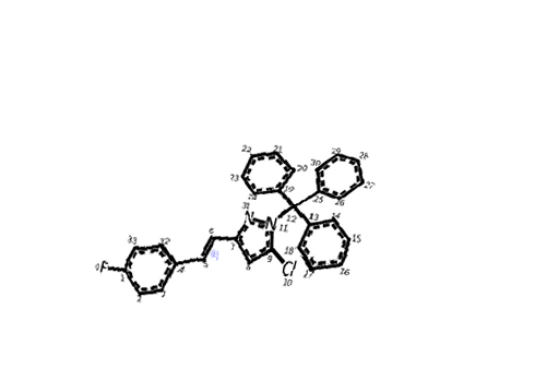 Fc1ccc(/C=C/c2cc(Cl)n(C(c3ccccc3)(c3ccccc3)c3ccccc3)n2)cc1